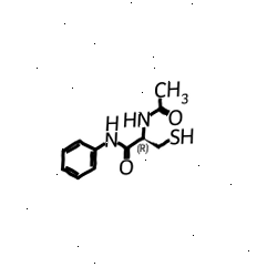 CC(=O)N[C@@H](CS)C(=O)Nc1ccccc1